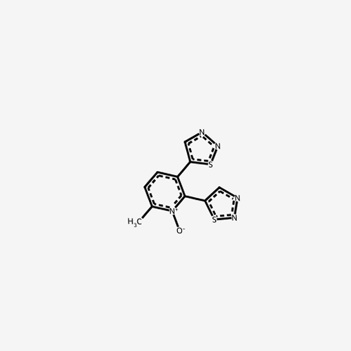 Cc1ccc(-c2cnns2)c(-c2cnns2)[n+]1[O-]